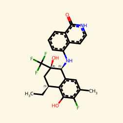 CC[C@H]1C[C@](O)(C(F)(F)F)[C@@H](Nc2cccc3c(=O)[nH]ccc23)c2cc(C)c(F)c(O)c21